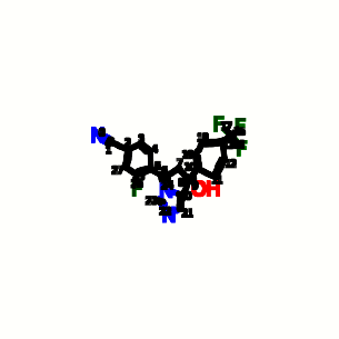 N#Cc1ccc([C@H]2C[C@](O)(c3ccc(C(F)(F)F)cc3)c3cncn32)c(F)c1